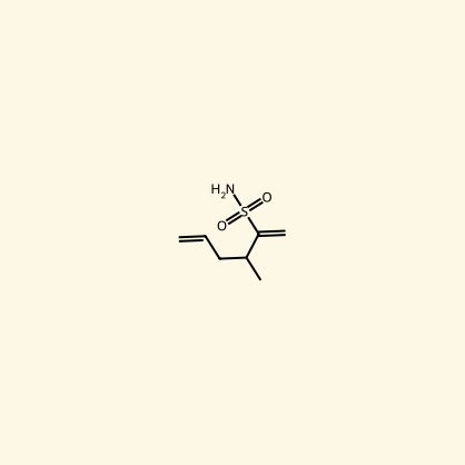 C=CCC(C)C(=C)S(N)(=O)=O